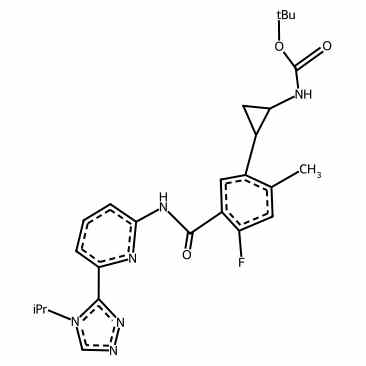 Cc1cc(F)c(C(=O)Nc2cccc(-c3nncn3C(C)C)n2)cc1C1CC1NC(=O)OC(C)(C)C